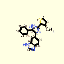 Cc1ccsc1-c1nc(-c2ccc3nc[nH]c3c2)c(-c2ccccc2)[nH]1